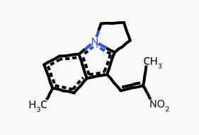 CC(=Cc1c2n(c3ccc(C)cc13)CCC2)[N+](=O)[O-]